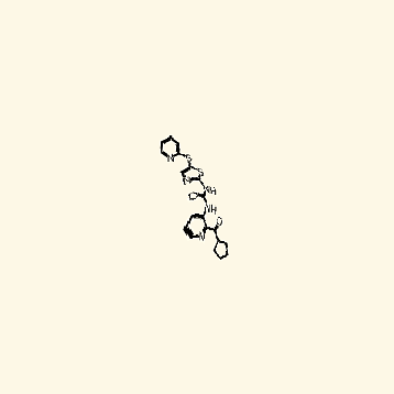 O=C(Nc1ncc(Sc2ccccn2)s1)Nc1cccnc1C(=O)C1CCCC1